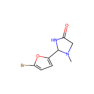 CN1CC(=O)NC1c1ccc(Br)o1